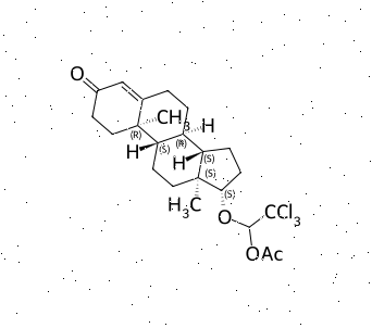 CC(=O)OC(O[C@H]1CC[C@H]2[C@@H]3CCC4=CC(=O)CC[C@]4(C)[C@H]3CC[C@]12C)C(Cl)(Cl)Cl